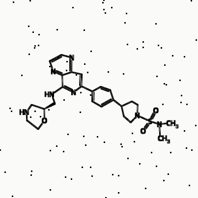 CN(C)S(=O)(=O)N1CCC(c2ccc(-c3cc4nccnc4c(NC[C@@H]4CNCCO4)n3)cc2)CC1